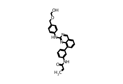 C=CC(=O)Nc1cccc(-c2cccc3cnc(Nc4ccc(COCO)cc4)nc23)c1